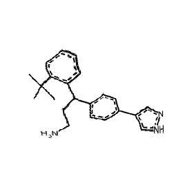 CC(C)(C)c1ccccc1C(CCN)c1ccc(-c2cn[nH]c2)cc1